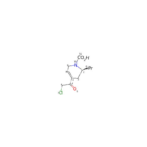 CC(C)[C@H]1CC(C(=O)CCl)=CCN1C(=O)O